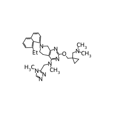 CCc1cccc2cccc(N3CCc4c(nc(OCC5(CN(C)C)CC5)nc4N(C)Cc4nncn4C)C3)c12